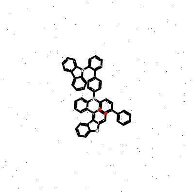 c1ccc(-c2ccc(N(c3ccc(-c4ccccc4-n4c5ccccc5c5ccccc54)cc3)c3ccccc3-c3cccc4oc5ccccc5c34)cc2)cc1